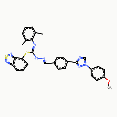 Cc1cccc(C)c1/N=C(/N/N=C/c1ccc(-c2ncn(-c3ccc(OC(F)(F)F)cc3)n2)cc1)Sc1cccc2nsnc12